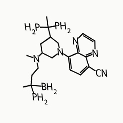 BC(C)(P)CCN(C)C1CC(C(C)(P)P)CN(c2ccc(C#N)c3nccnc23)C1